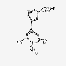 [C-]#[N+]c1cc(-c2cc(C(=O)O)ccn2)cc(Cl)c1C